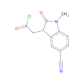 CN1C(=O)C(CC(=O)Cl)c2cc(C#N)ccc21